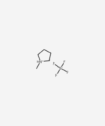 C[NH+]1CCCC1.F[B-](F)(F)F